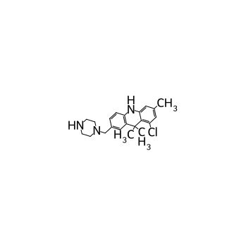 Cc1cc(Cl)c2c(c1)Nc1ccc(CN3CCNCC3)cc1C2(C)C